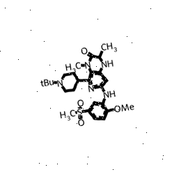 COc1ccc(S(C)(=O)=O)cc1Nc1cc2c(c(C3CCN(C(C)(C)C)CC3)n1)N(C)C(=O)C(C)N2